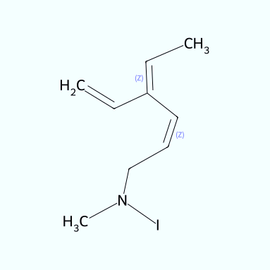 C=CC(/C=C\CN(C)I)=C/C